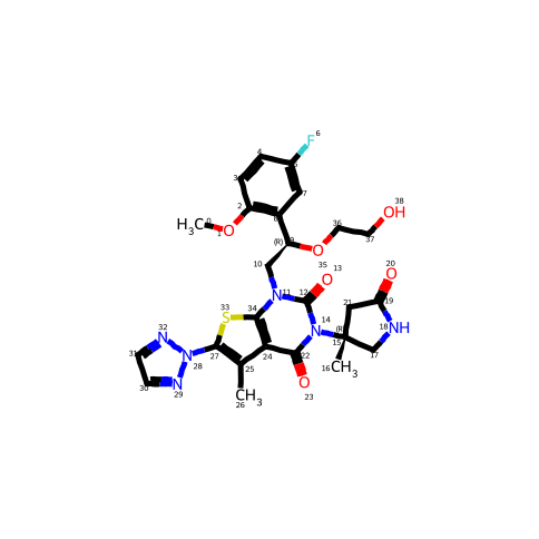 COc1ccc(F)cc1[C@H](Cn1c(=O)n([C@@]2(C)CNC(=O)C2)c(=O)c2c(C)c(-n3nccn3)sc21)OCCO